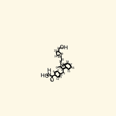 Cc1c(Cc2ccc(C(=O)NO)cc2)c2ccccc2n1CCN1CCC(CO)C1